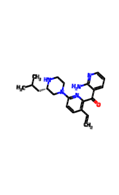 C=Cc1ccc(N2CCN[C@@H](CC(C)C)C2)nc1C(=O)c1cccnc1N